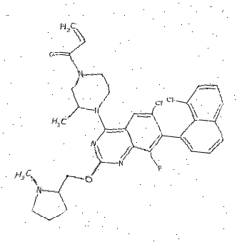 C=CC(=O)N1CCN(c2nc(OCC3CCCN3C)nc3c(F)c(-c4cccc5cccc(Cl)c45)c(Cl)cc23)C(C)C1